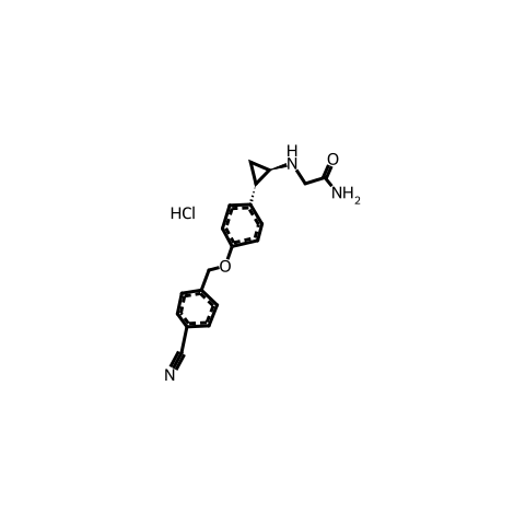 Cl.N#Cc1ccc(COc2ccc([C@@H]3C[C@H]3NCC(N)=O)cc2)cc1